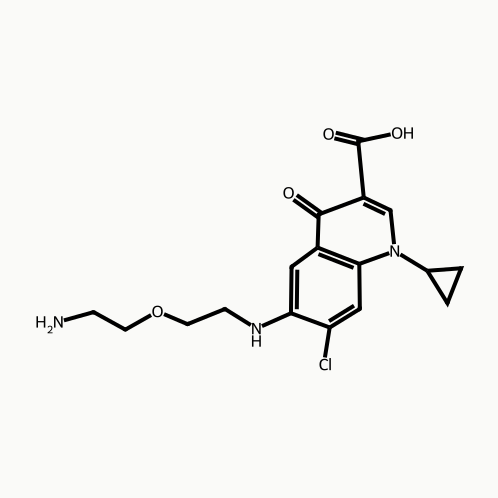 NCCOCCNc1cc2c(=O)c(C(=O)O)cn(C3CC3)c2cc1Cl